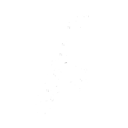 CCCCOC(=O)CN1CCC(N2CCN(C(=O)[C@@H](Cc3cc(C)c4c(c3)oc(=O)n4C)OC(=O)N3CCC(N4CCc5ccccc5NC4=O)CC3)CC2)CC1